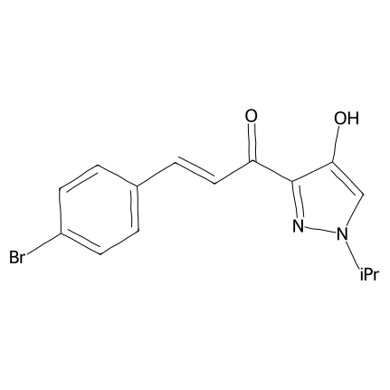 CC(C)n1cc(O)c(C(=O)C=Cc2ccc(Br)cc2)n1